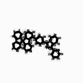 c1ccc(C2(c3ccccc3)c3ccccc3-c3c(-c4ccc(-c5nc(-c6ccccn6)c6ccccn56)cc4)cccc32)cc1